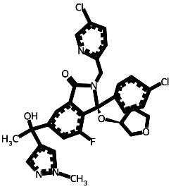 Cn1cc(C(C)(O)c2cc(F)c3c(c2)C(=O)N(Cc2ccc(Cl)cn2)[C@@]3(O[C@H]2CCOC2)c2ccc(Cl)cc2)cn1